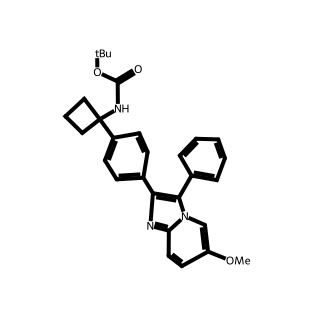 COc1ccc2nc(-c3ccc(C4(NC(=O)OC(C)(C)C)CCC4)cc3)c(-c3ccccc3)n2c1